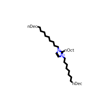 CCCCCCCCCCCCCCCCCCCn1cc[n+](CCCCCCCCCCCCCCCCCC)c1CCCCCCCC